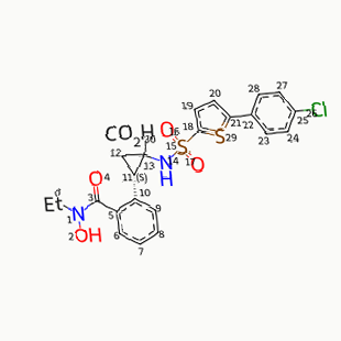 CCN(O)C(=O)c1ccccc1[C@@H]1CC1(NS(=O)(=O)c1ccc(-c2ccc(Cl)cc2)s1)C(=O)O